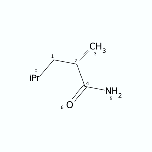 CC(C)C[C@H](C)C(N)=O